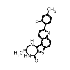 Cc1ccc(-c2ccc3c(ccc4sc5c(c43)NC[C@@H](C)NC5=O)n2)c(F)c1